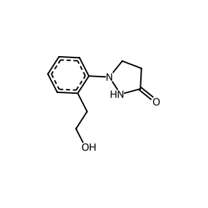 O=C1CCN(c2ccccc2CCO)N1